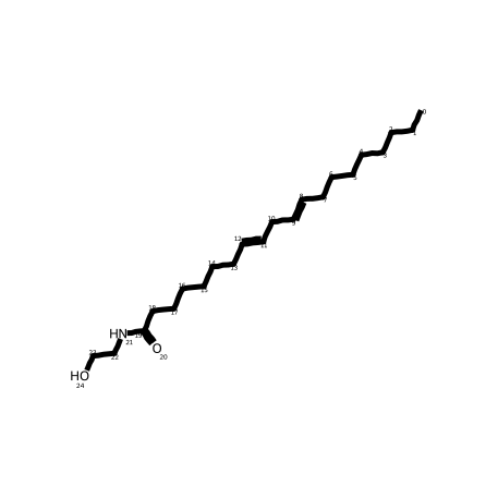 CCCCCCCCC=CCC=CCCCCCCC(=O)NCCO